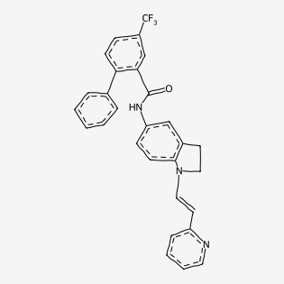 O=C(Nc1ccc2c(c1)CCN2C=Cc1ccccn1)c1cc(C(F)(F)F)ccc1-c1ccccc1